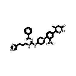 CC1CC(=O)NN=C1c1ccc(N2CCC(NC(=NC(=O)c3ccccc3)NCCCc3c[nH]cn3)CC2)c([N+](=O)[O-])c1